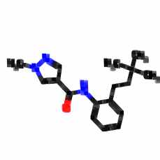 Cn1cc(C(=O)Nc2ccccc2CCC(C)(C)C)cn1